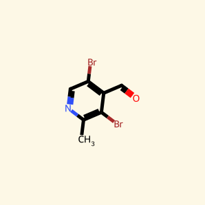 Cc1ncc(Br)c(C=O)c1Br